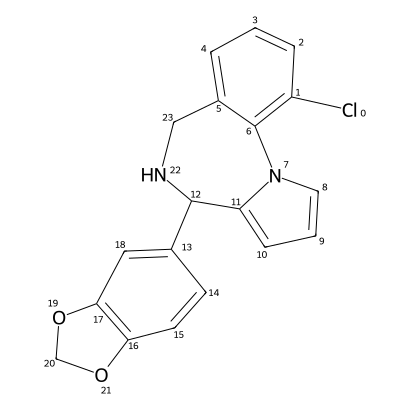 Clc1cccc2c1-n1cccc1C(c1ccc3c(c1)OCO3)NC2